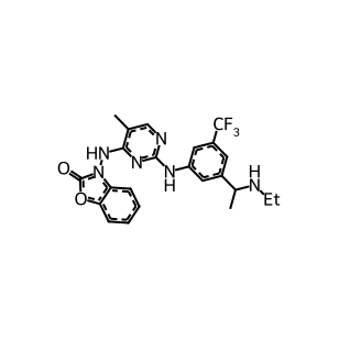 CCNC(C)c1cc(Nc2ncc(C)c(Nn3c(=O)oc4ccccc43)n2)cc(C(F)(F)F)c1